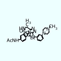 CCOc1ccc(NC(C)=O)cc1S(=O)(=O)N[C@H](C)c1nnc(Oc2cccc(N3CCN(C)CC3)c2)n1CC